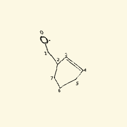 [O]CC1C=CCCC1